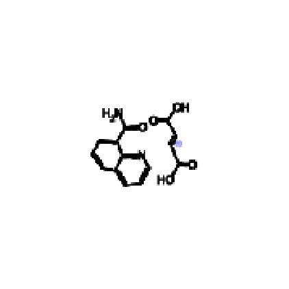 NC(=O)c1cccc2cccnc12.O=C(O)/C=C/C(=O)O